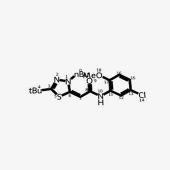 CCCCN1N=C(C(C)(C)C)SC1=CC(=O)Nc1cc(Cl)ccc1OC